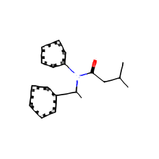 CC(C)CC(=O)N(c1ccccc1)C(C)c1ccccc1